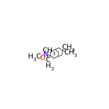 CON(C)C1(C)CC2CC(CC(C)(C)C2)C1